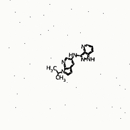 CC(C)n1ccc2cc(Nc3n[nH]c4cccnc34)cnc21